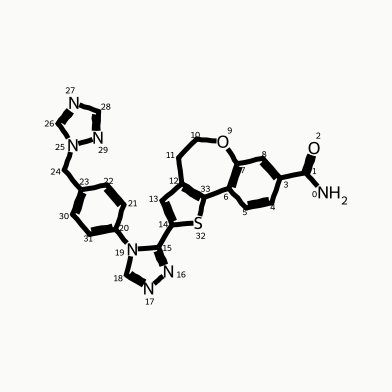 NC(=O)c1ccc2c(c1)OCCc1cc(-c3nncn3-c3ccc(Cn4cncn4)cc3)sc1-2